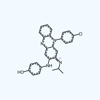 CC(C)/N=c1/cc2n(-c3ccc(Cl)cc3)c3ccccc3nc-2cc1Nc1ccc(O)cc1